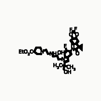 CCOC(=O)C1CCN(CCNC[C@H](O)Cn2c(C(C)(C)CO)cc3cc(NC(=O)C4(c5ccc6c(c5)OC(F)(F)O6)CC4)c(F)cc32)CC1